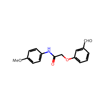 COc1ccc(NC(=O)COc2cccc(C=O)c2)cc1